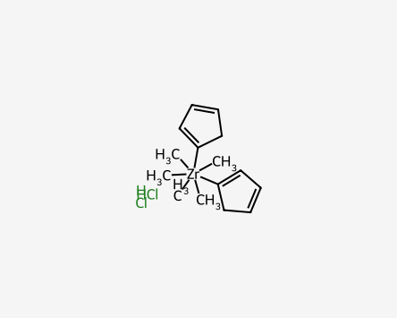 Cl.Cl.[CH3][Zr]([CH3])([CH3])([CH3])([CH3])([C]1=CC=CC1)[C]1=CC=CC1